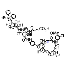 COc1ccc(C[C@H]2NC(=O)/C=C/C[C@@H]([C@H](C)[C@H]3O[C@@H]3c3ccc(CNC(=O)[C@H](CCC(=O)NC[C@H](O)[C@@H](O)[C@H](O)[C@H](O)CO[Si](c4ccccc4)(c4ccccc4)C(C)(C)C)NC(=O)[C@@H](NC(=O)CCCC(=O)O)C(C)C)cc3)OC(=O)[C@H](CC(C)C)OC(=O)C(C)(C)CNC2=O)cc1Cl